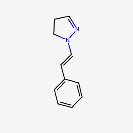 C(=CN1CCC=N1)c1ccccc1